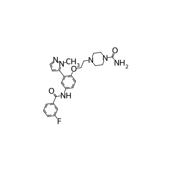 Cn1nccc1-c1cc(NC(=O)c2cccc(F)c2)ccc1OCCN1CCN(C(N)=O)CC1